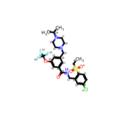 CCS(=O)(=O)c1ccc(Cl)cc1CNC(=O)c1cc(CN2CCN(C(C)C)CC2)cc(OC(F)(F)F)c1